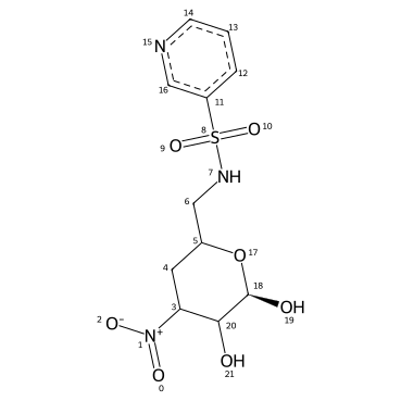 O=[N+]([O-])C1CC(CNS(=O)(=O)c2cccnc2)O[C@@H](O)C1O